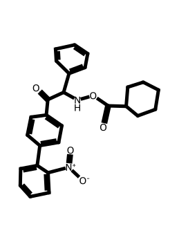 O=C(ONC(C(=O)c1ccc(-c2ccccc2[N+](=O)[O-])cc1)c1ccccc1)C1CCCCC1